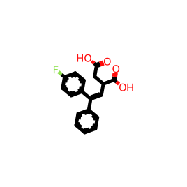 O=C(O)CC(C=C(c1ccccc1)c1ccc(F)cc1)C(=O)O